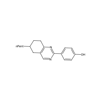 CCCCCC1CCc2nc(-c3ccc(O)cc3)ncc2C1